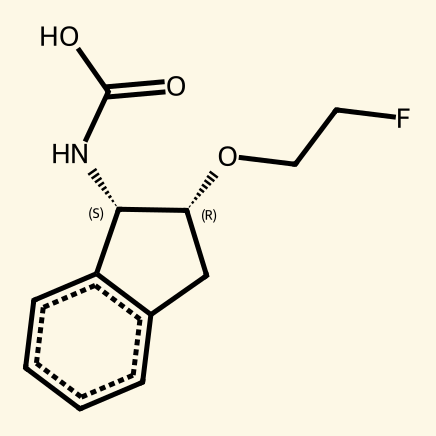 O=C(O)N[C@H]1c2ccccc2C[C@H]1OCCF